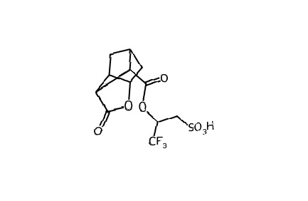 O=C(OC(CS(=O)(=O)O)C(F)(F)F)C1C2CC3OC(=O)C1C3C2